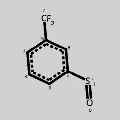 O=[S+]c1cccc(C(F)(F)F)c1